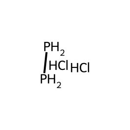 Cl.Cl.PP